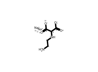 NCCNC(C(=O)[O-])C(=O)[O-].[Na+].[Na+]